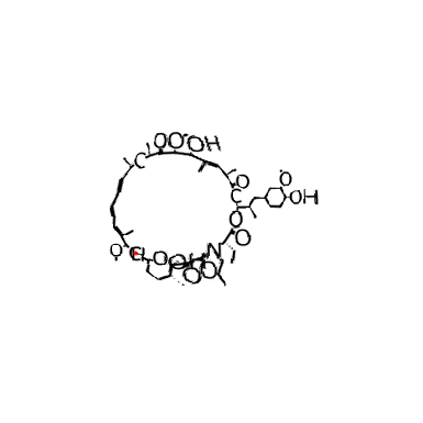 CCCN1C(=O)C(=O)[C@]2(O)O[C@@H](CC[C@H]2C)C[C@H](OC)/C(C)=C/C=C/C=C/[C@@H](C)C[C@@H](C)C(=O)[C@H](OC)[C@H](O)/C(C)=C/[C@@H](C)C(=O)C[C@@H]([C@H](C)C[C@@H]2CC[C@@H](O)[C@H](OC)C2)OC(=O)[C@@H]1CC